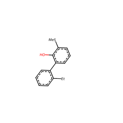 CCc1ccccc1-c1cccc(SC)c1O